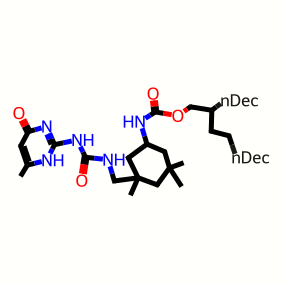 CCCCCCCCCCCCC(CCCCCCCCCC)COC(=O)NC1CC(C)(C)CC(C)(CNC(=O)Nc2nc(=O)cc(C)[nH]2)C1